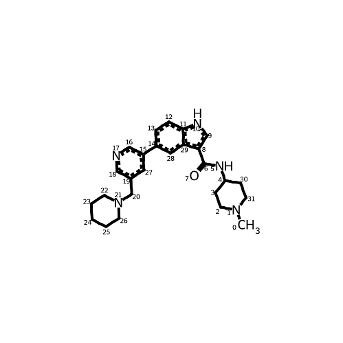 CN1CCC(NC(=O)c2c[nH]c3ccc(-c4cncc(CN5CCCCC5)c4)cc23)CC1